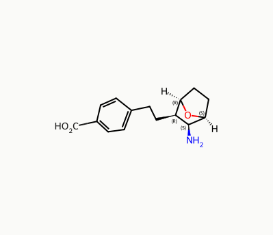 N[C@H]1[C@@H](CCc2ccc(C(=O)O)cc2)[C@H]2CC[C@@H]1O2